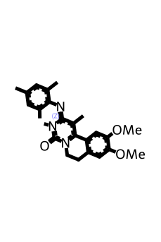 COc1cc2c(cc1OC)-c1c(C)/c(=N/c3c(C)cc(C)cc3C)n(C)c(=O)n1CC2